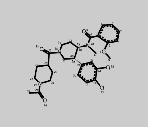 COc1ccccc1C(=O)N(C)[C@@H]1CCN(C(=O)C2CCN(C(C)=O)CC2)C[C@H]1c1ccc(Cl)c(Cl)c1